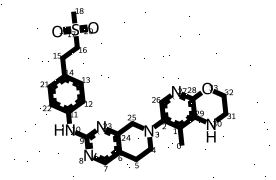 Cc1c(N2CCc3cnc(Nc4ccc(CCS(C)(=O)=O)cc4)nc3C2)cnc2c1NCCO2